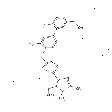 Cc1cc(-c2cc(CO)ccc2F)ccc1Cc1ccc(N2N=C(C(F)(F)F)C(C)C2CC(=O)O)cc1